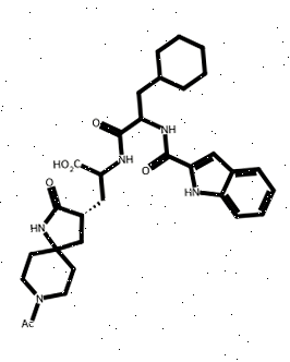 CC(=O)N1CCC2(CC1)C[C@@H](CC(NC(=O)C(CC1CCCCC1)NC(=O)c1cc3ccccc3[nH]1)C(=O)O)C(=O)N2